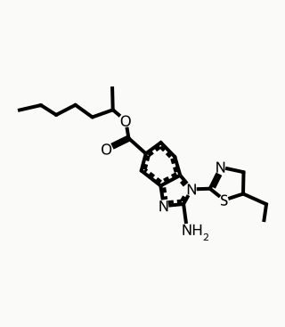 CCCCCC(C)OC(=O)c1ccc2c(c1)nc(N)n2C1=NCC(CC)S1